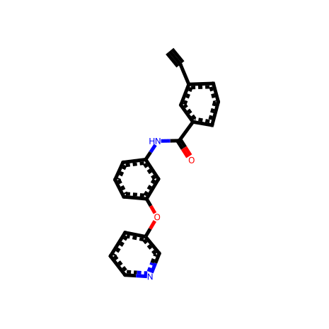 C#Cc1cccc(C(=O)Nc2cccc(Oc3cccnc3)c2)c1